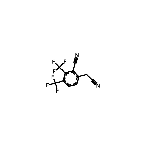 N#CCc1ccc(C(F)(F)F)c(C(F)(F)F)c1C#N